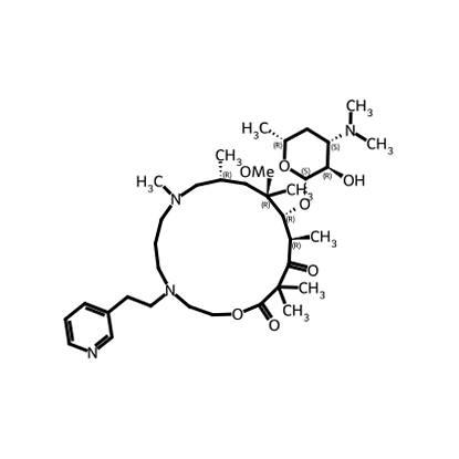 CO[C@]1(C)C[C@@H](C)CN(C)CCCN(CCc2cccnc2)CCOC(=O)C(C)(C)C(=O)[C@H](C)[C@H]1O[C@@H]1O[C@H](C)C[C@H](N(C)C)[C@H]1O